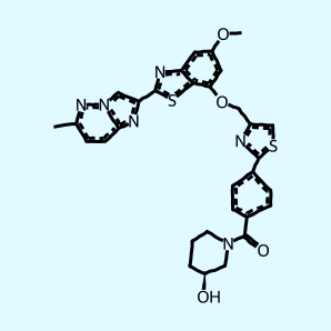 COc1cc(OCc2csc(-c3ccc(C(=O)N4CCC[C@H](O)C4)cc3)n2)c2sc(-c3cn4nc(C)ccc4n3)nc2c1